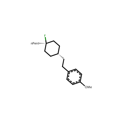 CCCCC[C@]1(F)CC[C@H](CCc2ccc(OC)cc2)CC1